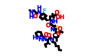 CCCCCCN(C(=O)[C@@H](NC(=O)[C@H]1CCCCN1)[C@@H](C)CC)[C@H](C[C@@H](OC(C)=O)c1nc(C(=O)N[C@@H](Cc2ccc(NC(=O)CNC)c(F)c2)CC(C)(C)C(=O)O)cs1)C(C)C